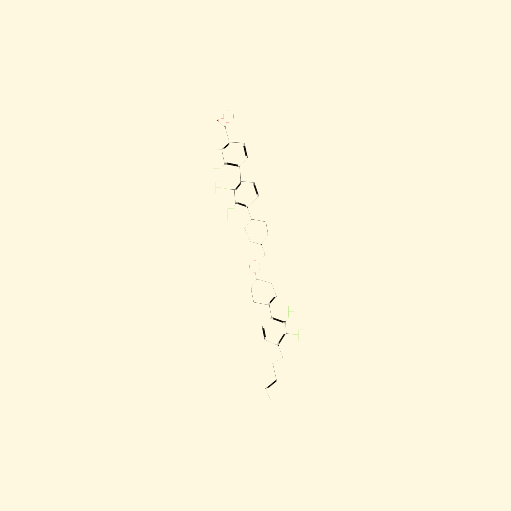 C/C=C/CCc1ccc(C2=CCC(OCC3CCC(c4ccc(-c5ccc(C6CO6)c(F)c5F)c(F)c4F)CC3)CC2)c(F)c1F